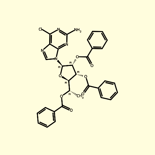 C[C@H](OC(=O)c1ccccc1)[C@H]1O[C@@H](n2cnc3c(Cl)nc(N)nc32)[C@H](OC(=O)c2ccccc2)[C@@H]1OC(=O)c1ccccc1